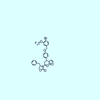 O=C(CC(c1ccc(OCc2ccc(Br)c(OC(F)(F)F)c2)cc1)c1ccon1)N1C(=O)OCC1Cc1ccccc1